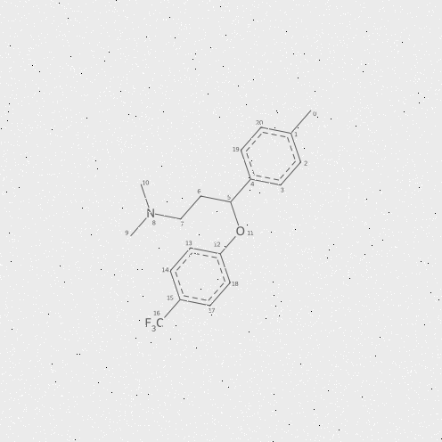 Cc1ccc(C(CCN(C)C)Oc2ccc(C(F)(F)F)cc2)cc1